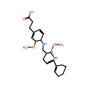 COC1C=C(CCC(=O)O)C=CC1NCC1CC=C(C2=CCCCC2)N[C@@H]1OC